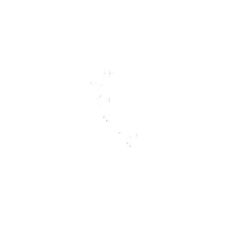 COC(=O)c1ccc(N2CCc3cc(C(=O)N4CCCCC4)ccc32)cc1